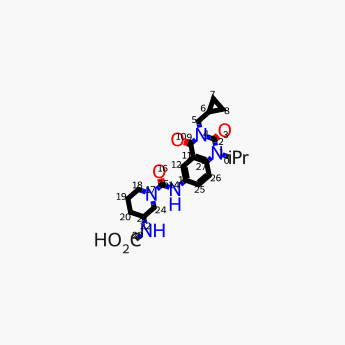 CC(C)n1c(=O)n(CC2CC2)c(=O)c2cc(NC(=O)N3CCCC(NC(=O)O)C3)ccc21